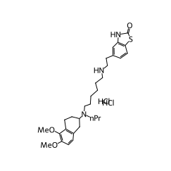 CCCN(CCCCCCNCCc1ccc2sc(=O)[nH]c2c1)C1CCc2c(ccc(OC)c2OC)C1.Cl.Cl